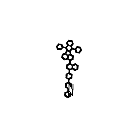 c1ccc(-c2c3c(c(-c4ccccc4)c4ccccc24)-c2ccc(-c4ccc(-c5ccc(-c6ccc(-c7ccccn7)nc6)cc5)c5ccccc45)c4cccc-3c24)cc1